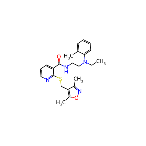 CCN(CCNC(=O)c1cccnc1SCc1c(C)noc1C)c1ccccc1C